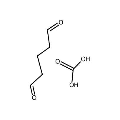 O=C(O)O.O=CCCCC=O